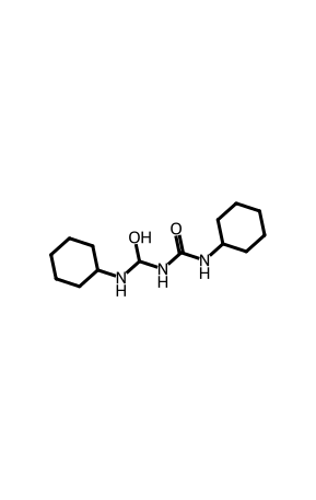 O=C(NC1CCCCC1)NC(O)NC1CCCCC1